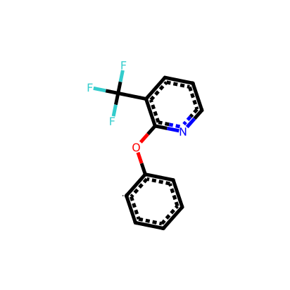 FC(F)(F)c1cccnc1Oc1[c]cccc1